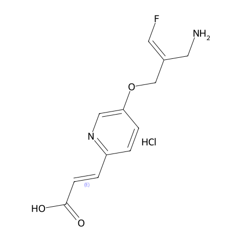 Cl.NCC(=CF)COc1ccc(/C=C/C(=O)O)nc1